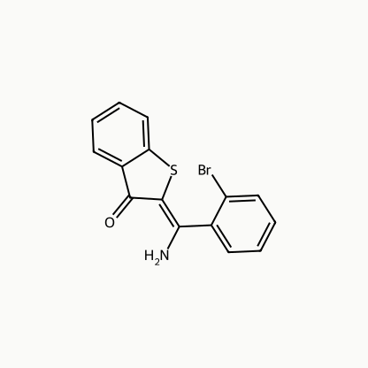 NC(=C1Sc2ccccc2C1=O)c1ccccc1Br